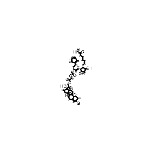 CCNC(=O)CCC/C=C\C[C@@H]1[C@@H](/C=C/[C@H](CCc2ccccc2)OC(=O)OCC(=O)OCC(=O)[C@@]2(O)CC[C@H]3[C@@H]4CCC5=CC(=O)CC[C@]5(C)C4=CC[C@@]32C)[C@H](O)C[C@@H]1O